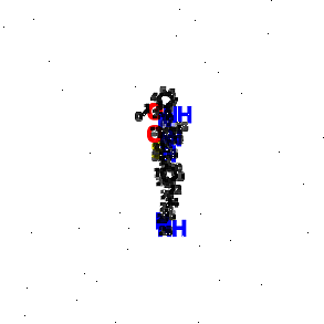 CCOc1ccccc1N/N=C1/C(=O)N(c2nc(-c3ccc(CCCCCN=N)cc3)cs2)N=C1C